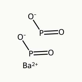 O=P[O-].O=P[O-].[Ba+2]